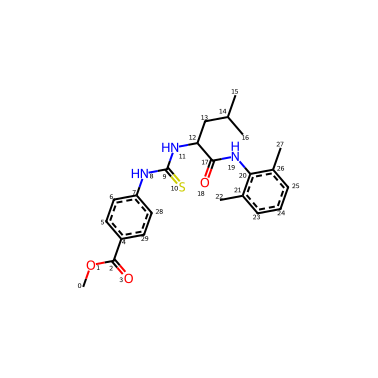 COC(=O)c1ccc(NC(=S)NC(CC(C)C)C(=O)Nc2c(C)cccc2C)cc1